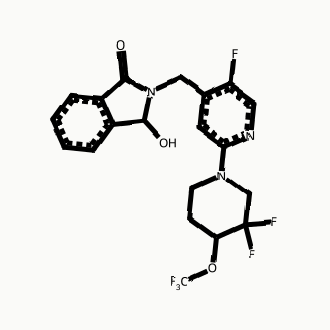 O=C1c2ccccc2C(O)N1Cc1cc(N2CCC(OC(F)(F)F)C(F)(F)C2)ncc1F